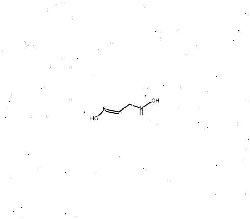 ON=CCNO